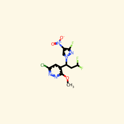 COc1nnc(Cl)cc1C(CC(F)F)n1cc([N+](=O)[O-])c(F)n1